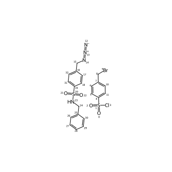 O=S(=O)(Cl)c1ccc(CBr)cc1.[N-]=[N+]=NCc1ccc(S(=O)(=O)NCc2ccccc2)cc1